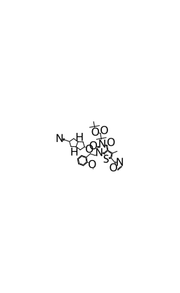 COc1ccccc1C(Cn1c(=O)n(C(C)(C)C(=O)OC(C)(C)C)c(=O)c2c(C)c(-c3ncco3)sc21)OC1C[C@H]2CC(C#N)C[C@H]2C1